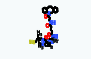 CC(C)[C@H](NC(=O)CCCC(=O)NCCC(=O)N1Cc2ccccc2C#Cc2ccccc21)C(=O)N[C@@H](C)C(=O)NCC(C)(C)CCS